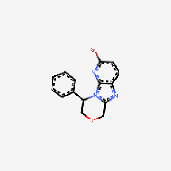 Brc1ccc2nc3n(c2n1)C(c1ccccc1)COC3